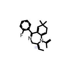 C=C(C)N1C2=CCC(C)(C)C=C2C(c2ccccc2F)=NC/C1=C/C